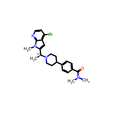 C[C@@H](c1cc2c(Br)ccnc2n1C)N1CCC(c2ccc(C(=O)N(C)C)cc2)CC1